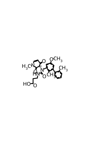 COc1cc(-c2ccccc2C)c(C)c(N(C(=O)NCCC(=O)O)[C@H]2C(=O)C=CN(C)C2=O)c1